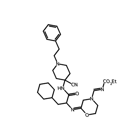 CCOC(=O)N=CN1CCOC(=NC(CC2CCCCC2)C(=O)NC2(C#N)CCN(CCc3ccccc3)CC2)C1